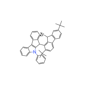 CC(C)(C)c1ccc2c(c1)[CH]([Zr])c1c-2ccc(C(C)(C)C)c1C1c2ccccc2-c2c1n(-c1ccccc1)c1ccccc21